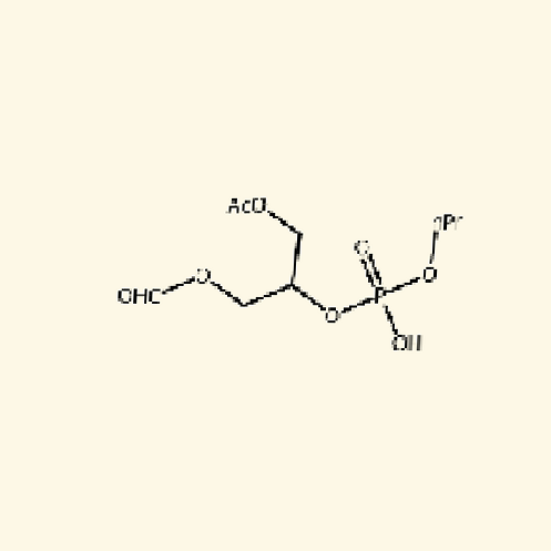 CCCOP(=O)(O)OC(COC=O)COC(C)=O